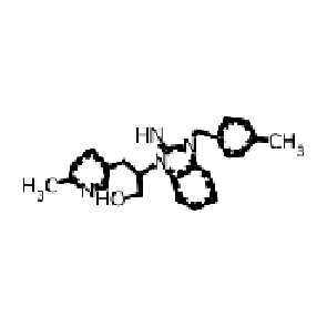 Cc1ccc(Cn2c(=N)n(C(CO)Cc3ccc(C)nc3)c3ccccc32)cc1